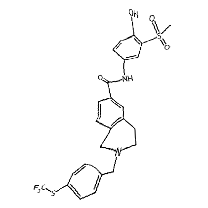 CS(=O)(=O)c1cc(NC(=O)c2ccc3c(c2)CCN(Cc2ccc(SC(F)(F)F)cc2)C3)ccc1O